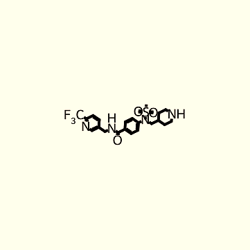 CS(=O)(=O)N(CC1CCNCC1)c1ccc(C(=O)NCc2ccc(C(F)(F)F)nc2)cc1